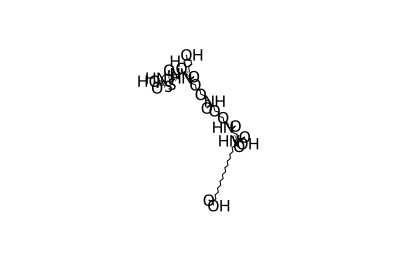 O=C(O)CCCCCCCCCCCCCCCCC(=O)N[C@@H](CCC(=O)NCCOCCOCC(=O)NCCOCCOCC(=O)N[C@@H](Cc1ccc(O)cc1)C(=O)CN[C@H]1CSSC[C@@H](C(=O)O)NCC1=O)C(=O)O